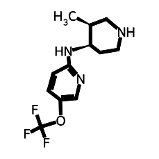 C[C@H]1CNCC[C@H]1Nc1ccc(OC(F)(F)F)cn1